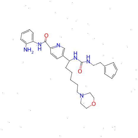 Nc1ccccc1NC(=O)c1ccc(C(CCCCCN2CCOCC2)NC(=O)NCCc2ccccc2)cn1